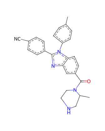 Cc1ccc(-n2c(-c3ccc(C#N)cc3)nc3cc(C(=O)N4CCNCC4C)ccc32)cc1